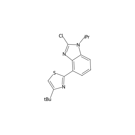 CC(C)n1c(Cl)nc2c(-c3nc(C(C)(C)C)cs3)cccc21